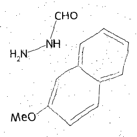 COc1ccc2ccccc2c1.NNC=O